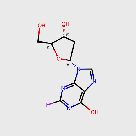 OC[C@@H]1O[C@@H](n2cnc3c(O)nc(I)nc32)C[C@H]1O